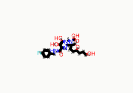 CN(C(=O)O)C1(c2nc(O)c(O)c(C(=O)NCc3ccc(F)cc3)n2)CCC(CCCO)OC1